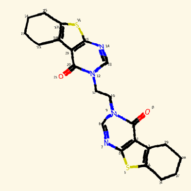 O=c1c2c3c(sc2ncn1CCn1cnc2sc4c(c2c1=O)CCCC4)CCCC3